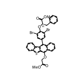 COC(=O)COc1c2ccccc2c(-c2cc(Br)c(O[C@H](Cc3ccccc3)C(=O)OC)c(Br)c2)c2c1sc1ccccc12